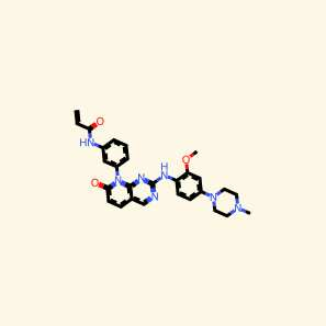 C=CC(=O)Nc1cccc(-n2c(=O)ccc3cnc(Nc4ccc(N5CCN(C)CC5)cc4OC)nc32)c1